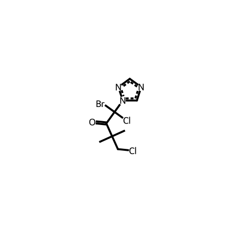 CC(C)(CCl)C(=O)C(Cl)(Br)n1cncn1